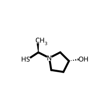 C[C@H](S)N1CC[C@@H](O)C1